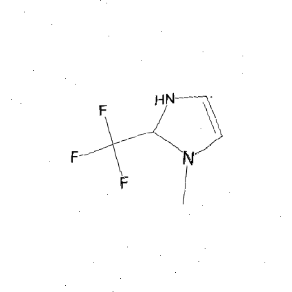 CN1C=[C]NC1C(F)(F)F